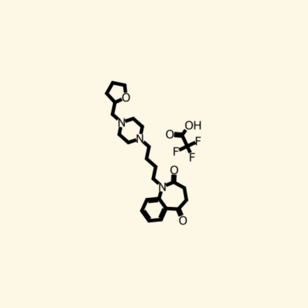 O=C(O)C(F)(F)F.O=C1CCC(=O)N(CCCCN2CCN(CC3CCCO3)CC2)c2ccccc21